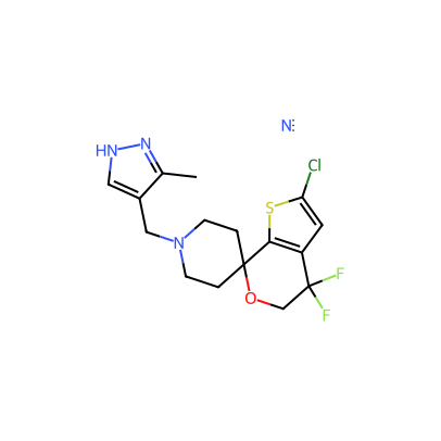 Cc1n[nH]cc1CN1CCC2(CC1)OCC(F)(F)c1cc(Cl)sc12.[N]